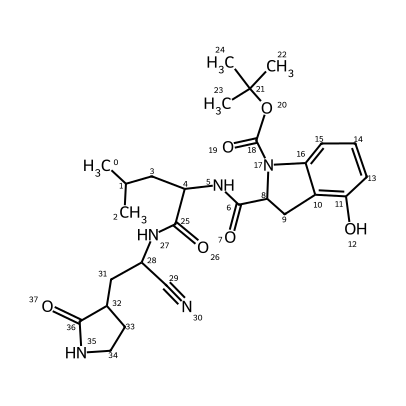 CC(C)CC(NC(=O)C1Cc2c(O)cccc2N1C(=O)OC(C)(C)C)C(=O)NC(C#N)CC1CCNC1=O